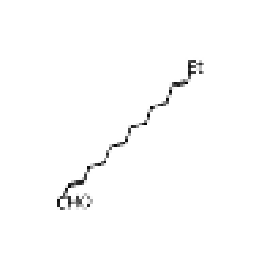 CCC=CCCCCCCCCC=CC=O